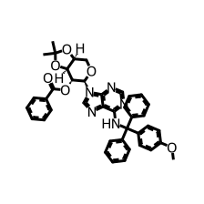 COc1ccc(C(Nc2ncnc3c2ncn3[C@@H]2OC[C@@H]3OC(C)(C)O[C@@H]3[C@H]2OC(=O)c2ccccc2)(c2ccccc2)c2ccccc2)cc1